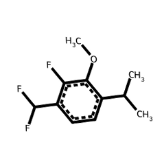 COc1c(C(C)C)ccc(C(F)F)c1F